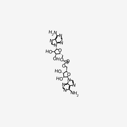 Nc1ncnc2c1ncn2[C@@H]1O[C@H](CO[Se](=O)OC[C@H]2O[C@@H](n3cnc4c(N)ncnc43)[C@H](O)[C@@H]2O)[C@@H](O)[C@H]1O